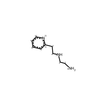 NCCNCCc1ccccn1